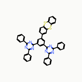 c1ccc(-c2nc(-c3ccccc3)nc(-c3cc(-c4ccc5c(c4)Sc4ccccc4S5)cc(-c4nc(-c5ccccc5)nc(-c5ccccc5)n4)c3)n2)cc1